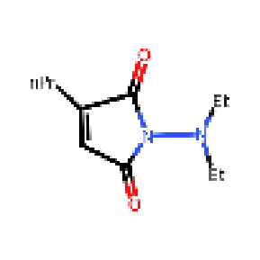 CCCC1=CC(=O)N(N(CC)CC)C1=O